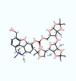 CN1CC[C@]23c4c5ccc(CO)c4OC2C(OC(=O)OC[C@H]2OC4OC(C)(C)O[C@@H]4[C@H]2OC2O[C@H](C4COC(C)(C)O4)[C@@H]4OC(C)(C)O[C@H]24)=CCC3[C@H]1C5